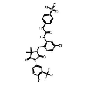 CC1(C)C(=O)N(c2ccc(F)c(C(F)(F)F)c2)C(=O)N1Cc1ccc(Cl)cc1NC(=O)Nc1ccc(S(=O)(=O)Cl)cc1